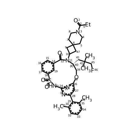 CCC(=O)N1CCC2(CC1)CC(N1C(=O)c3cccc(c3)S(=O)(=O)Nc3nc(cc(-c4c(C)cccc4C)n3)OC[C@H]1CC(C)(C)CF)C2